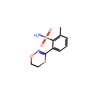 Cc1cccc(C2=NOCCS2)c1S(N)(=O)=O